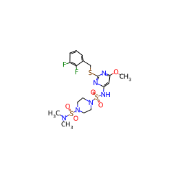 COc1cc(NS(=O)(=O)N2CCN(S(=O)(=O)N(C)C)CC2)nc(SCc2cccc(F)c2F)n1